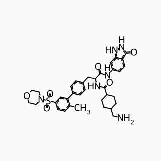 Cc1ccc(S(=O)(=O)N2CCOCC2)cc1-c1ccc(C[C@H](NC(=O)C2CCC(CN)CC2)C(=O)Nc2ccc3c(=O)[nH][nH]c3c2)cc1